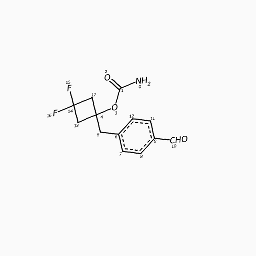 NC(=O)OC1(Cc2ccc(C=O)cc2)CC(F)(F)C1